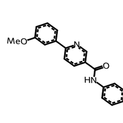 COc1cccc(-c2ccc(C(=O)Nc3ccccc3)cn2)c1